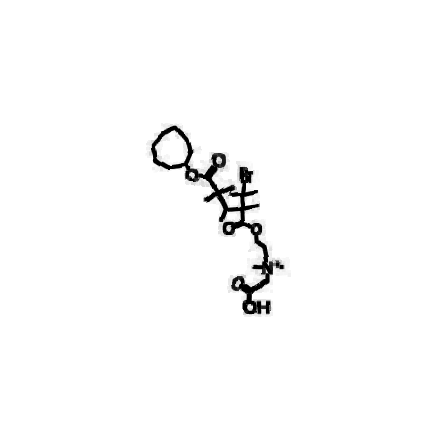 CC(C(C)(C)C(=O)OC1CCCCCCC1)C(C)(C(=O)OCC[N+](C)(C)CC(=O)O)C(C)(C)Br